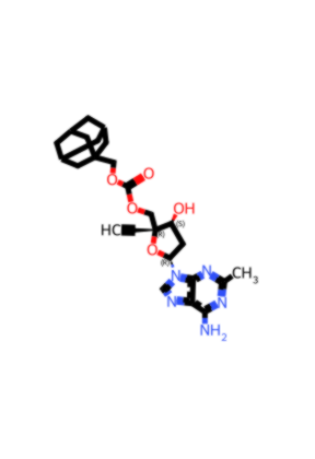 C#C[C@]1(COC(=O)OCC23CC4CC(CC(C4)C2)C3)O[C@@H](n2cnc3c(N)nc(C)nc32)C[C@@H]1O